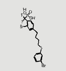 O=P(O)(O)C(F)(F)c1ccc(CCCCSc2cccc(Br)c2)cc1Br